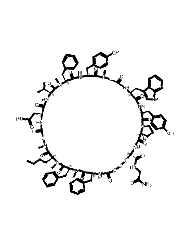 CCCC[C@H]1C(=O)N(C)CC(=O)N[C@@H](CC(=O)O)C(=O)N[C@@H](C(C)C)C(=O)N(C)[C@@H](Cc2ccccc2)C(=O)N[C@@H](Cc2ccc(O)cc2)C(=O)N(C)CC(=O)N[C@@H](Cc2c[nH]c3ccccc23)C(=O)N[C@@H](Cc2ccc(O)cc2)C(=O)N2CCC[C@H]2C(=O)N[C@H](C(=O)NCC(N)=O)CSCC(=O)N[C@@H](Cc2ccccc2)C(=O)N(C)[C@@H](Cc2ccccc2)C(=O)N1C